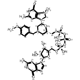 COc1ccc(CN2C[C@@H](COP(=O)(O)OP(=O)(O)OP(=O)(O)OC[C@H]3O[C@@H](n4cnc5c(=O)[nH]c(N)nc54)[C@H](O)[C@@H]3O)O[C@@H](N3CN(C)c4c3nc(N)[nH]c4=O)C2)cc1